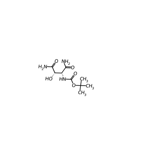 CC(C)(C)OC(=O)N[C@@H](C(N)=O)[C@H](O)C(N)=O